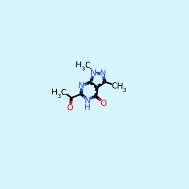 CC(=O)c1nc2c(c(C)nn2C)c(=O)[nH]1